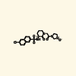 O=C(CN1CCC[C@H](NS(=O)(=O)c2ccc3cc(Cl)ccc3c2)C1=O)N1CC[S+]([O-])C1